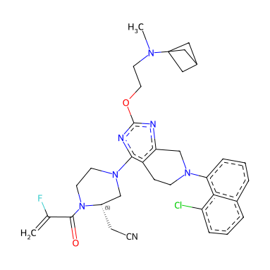 C=C(F)C(=O)N1CCN(c2nc(OCCN(C)C34CC(C3)C4)nc3c2CCN(c2cccc4cccc(Cl)c24)C3)C[C@@H]1CC#N